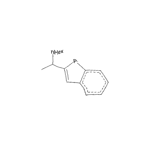 CCCCCCC(C)C1=Cc2ccccc2[P]1